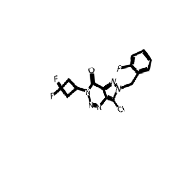 O=c1c2nn(Cc3ccccc3F)c(Cl)c2nnn1C1CC(F)(F)C1